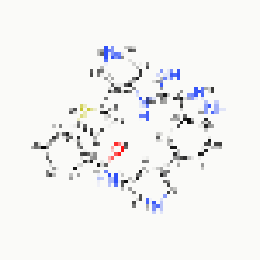 O=C(Nc1cncc(-c2ccc3[nH]nc(C4Nc5cncc(-c6cccs6)c5N4)c3c2)c1)c1ccccc1